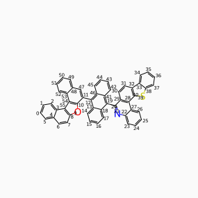 c1ccc2c(c1)ccc1oc3c(-c4c5ccccc5c(-c5nc6ccccc6c6c5ccc5c7ccccc7sc56)c5ccccc45)cc4ccccc4c3c12